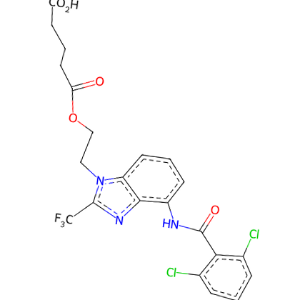 O=C(O)CCCC(=O)OCCn1c(C(F)(F)F)nc2c(NC(=O)c3c(Cl)cccc3Cl)cccc21